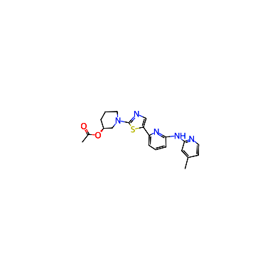 CC(=O)O[C@H]1CCCN(c2ncc(-c3cccc(Nc4cc(C)ccn4)n3)s2)C1